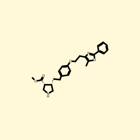 COC(=O)[C@H]1CNC[C@H]1CCc1ccc(OCCc2nc(-c3ccccc3)oc2C)cc1